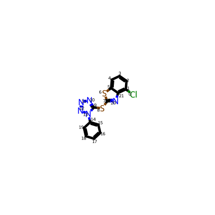 Clc1cccc2sc(Sc3nnnn3-c3ccccc3)nc12